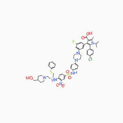 Cc1c(C(=O)O)c(-c2cc(F)cc(N3CCN(c4ccc(NS(=O)(=O)c5ccc(N[C@H](CCN6CCC(CO)CC6)CSc6ccccc6)c([N+](=O)[O-])c5)cc4)CC3)c2)c(-c2ccc(Cl)cc2)n1C(C)C